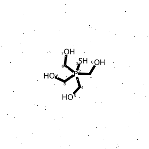 OCP(S)(CO)(CO)CO